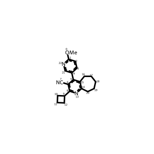 COc1ccc(-c2c(C#N)c(C3CCC3)nc3c2CCCCC3)cn1